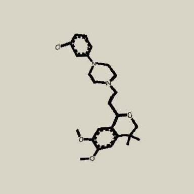 COc1cc2c(cc1OC)C(C)(C)COC2CCN1CCN(c2cccc(Cl)c2)CC1